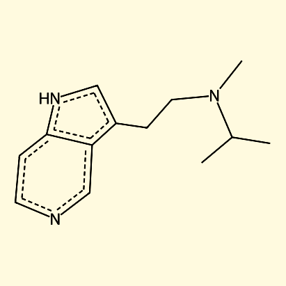 CC(C)N(C)CCc1c[nH]c2ccncc12